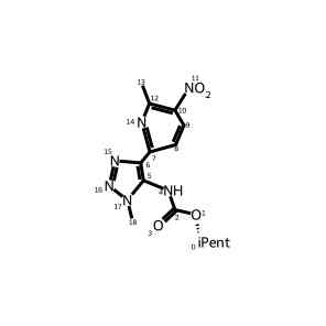 CCC[C@@H](C)OC(=O)Nc1c(-c2ccc([N+](=O)[O-])c(C)n2)nnn1C